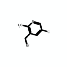 Cc1ncc(Cl)cc1CBr